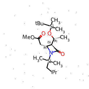 COC(=O)C[C@@H]1[C@@H]([C@@H](C)O[Si](C)(C)C(C)(C)C)C(=O)N1[Si](C)(C)CC(C)C